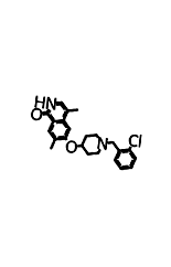 Cc1cc2c(=O)[nH]cc(C)c2cc1OC1CCN(Cc2ccccc2Cl)CC1